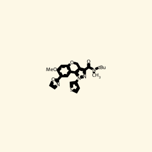 COc1cc2c(cc1-c1ncco1)-c1c(c(C(=O)N(C)C(C)(C)C)nn1-c1ccsc1)CO2